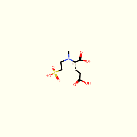 CN(CCS(=O)(=O)O)[C@@H](CCC(=O)O)C(=O)O